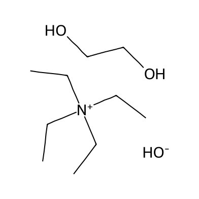 CC[N+](CC)(CC)CC.OCCO.[OH-]